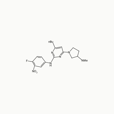 CCCCc1cc(N2CCC(NC)C2)nc(Nc2ccc(F)c([N+](=O)[O-])c2)n1